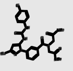 CNC(=O)CN(CC(=O)NC)C(=O)c1cccc(-n2nc(C(C)(C)C)cc2NC(=O)Nc2ccc(Cl)cc2)c1